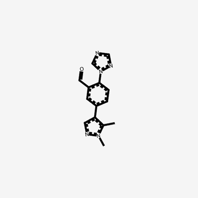 Cc1c(-c2ccc(-n3cncn3)c(C=O)c2)cnn1C